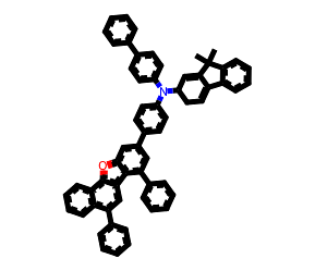 CC1(C)C2=CC(N(c3ccc(-c4ccccc4)cc3)c3ccc(-c4cc(-c5ccccc5)c5c(c4)oc4c6ccccc6c(-c6ccccc6)cc45)cc3)CC=C2c2ccccc21